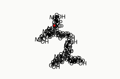 O=P([O][Mo](=[O])(=[O])[O][Mo](=[O])(=[O])[O][Mo](=[O])(=[O])[O][Mo](=[O])(=[O])[OH])([O][Mo](=[O])(=[O])[O][Mo](=[O])(=[O])[O][Mo](=[O])(=[O])[O][Mo](=[O])(=[O])[OH])[O][Mo](=[O])(=[O])[O][Mo](=[O])(=[O])[O][Mo](=[O])(=[O])[O][Mo](=[O])(=[O])[OH].O=P([O][Mo](=[O])(=[O])[O][Mo](=[O])(=[O])[O][Mo](=[O])(=[O])[O][Mo](=[O])(=[O])[OH])([O][Mo](=[O])(=[O])[O][Mo](=[O])(=[O])[O][Mo](=[O])(=[O])[O][Mo](=[O])(=[O])[OH])[O][Mo](=[O])(=[O])[O][Mo](=[O])(=[O])[O][Mo](=[O])(=[O])[O][Mo](=[O])(=[O])[OH]